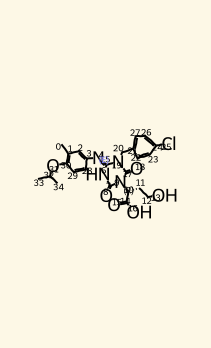 Cc1cc(/N=c2\[nH]c(=O)n([C@H](CCO)C(=O)O)c(=O)n2Cc2ccc(Cl)cc2)ccc1OC(C)C